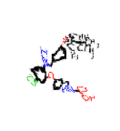 CC(C)(C)[Si](C)(C)Oc1ccc(CNc2ccc(Cl)cc2Oc2cccc(CNC(=O)O)c2)cc1